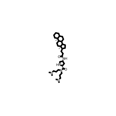 CN(C)CCCN(CCCN(C)C)C(=O)[C@@H]1C[C@H](NC(=O)CCC2CCC3C4CCC5CCCC[C@]5(C)C4CC[C@]23C)CN1